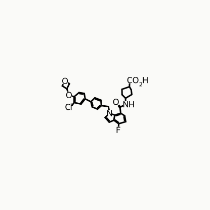 O=C(NC1CCC(C(=O)O)CC1)c1ccc(F)c2ccn(Cc3ccc(-c4ccc(OC5COC5)c(Cl)c4)cc3)c12